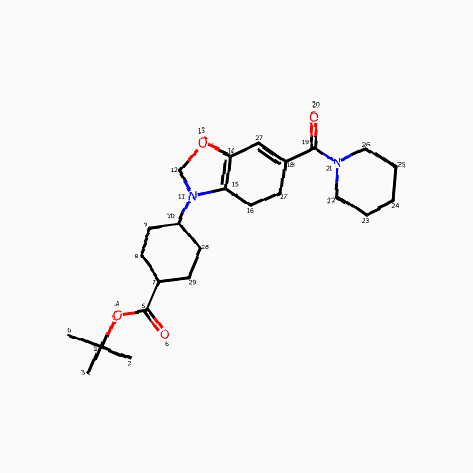 CC(C)(C)OC(=O)C1CCC(N2COC3=C2CCC(C(=O)N2CCCCC2)=C3)CC1